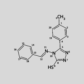 Cc1ccc(-c2nnc(S)n2/N=C/c2ccccc2)cc1